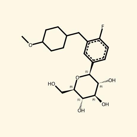 COC1CCC(Cc2cc([C@@H]3O[C@H](CO)[C@@H](O)[C@H](O)[C@H]3O)ccc2F)CC1